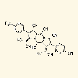 N#CC(C#N)=C1C(c2ccc(C#N)cc2)=C(C#N)c2c(C#N)c3c(c(C#N)c21)C(=C(C#N)C#N)C(c1ccc(C(F)(F)F)cc1)=C3C#N